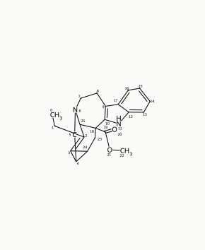 CCC1=C2C3CN4CCc5c([nH]c6ccccc56)C(C(=O)OC)(CC23)C14